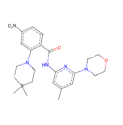 Cc1cc(NC(=O)c2ccc([N+](=O)[O-])cc2N2CC[Si](C)(C)CC2)nc(N2CCOCC2)c1